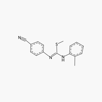 CS/C(=N\c1ccc(C#N)cc1)Nc1ccccc1C